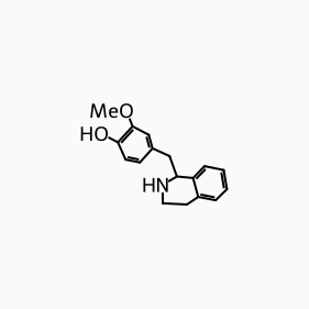 COc1cc(CC2NCCc3ccccc32)ccc1O